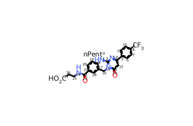 CCCCCNc1nc(-c2ccc(C(F)(F)F)cc2)cc(=O)n1Cc1cccc(C(=O)NCCC(=O)O)c1